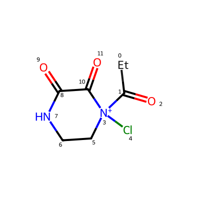 CCC(=O)[N+]1(Cl)CCNC(=O)C1=O